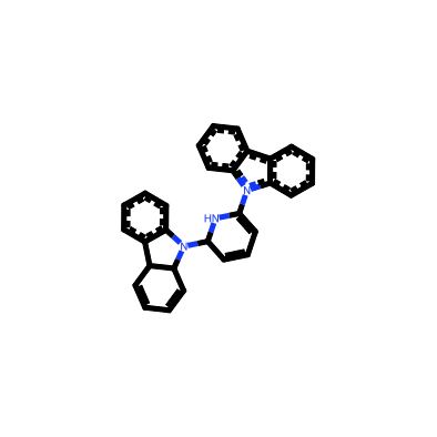 C1=CC2c3ccccc3N(C3C=CC=C(n4c5ccccc5c5ccccc54)N3)C2C=C1